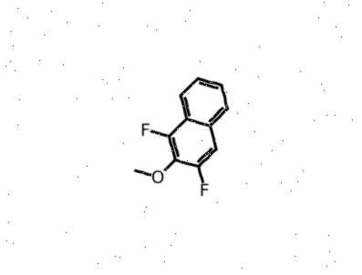 COc1c(F)cc2ccccc2c1F